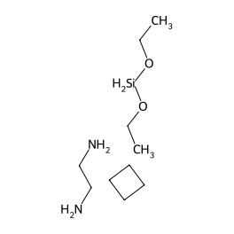 C1CCC1.CCO[SiH2]OCC.NCCN